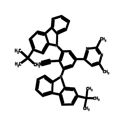 Cc1cc(-c2cc(-n3c4ccccc4c4ccc(C(C)(C)C)cc43)c(C#N)c(-n3c4ccccc4c4ccc(C(C)(C)C)cc43)c2)nc(C)n1